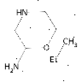 CCC.NC1CNCCO1